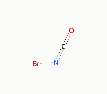 O=C=NBr